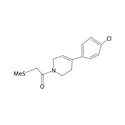 CS[CH]C(=O)N1CC=C(c2ccc(Cl)cc2)CC1